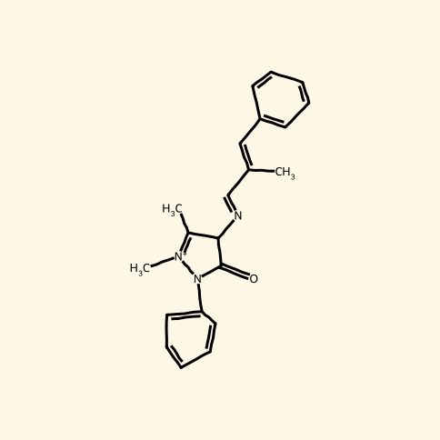 CC1=[N+](C)N(c2ccccc2)C(=O)C1/N=C/C(C)=C/c1ccccc1